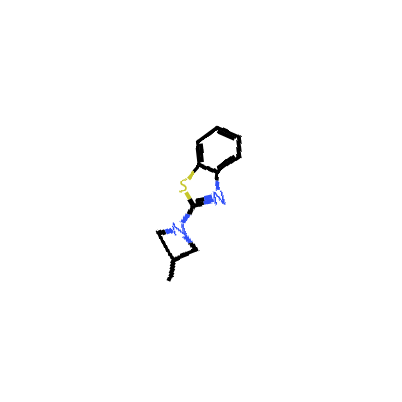 CC1CN(c2nc3ccccc3s2)C1